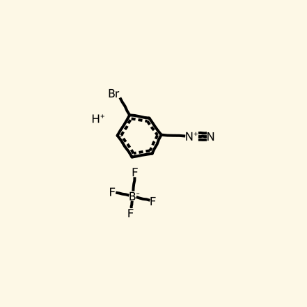 F[B-](F)(F)F.N#[N+]c1cccc(Br)c1.[H+]